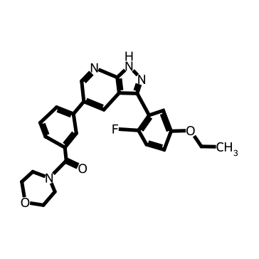 CCOc1ccc(F)c(-c2n[nH]c3ncc(-c4cccc(C(=O)N5CCOCC5)c4)cc23)c1